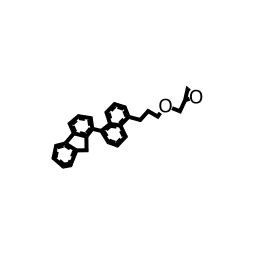 c1ccc2c(c1)Cc1c-2cccc1-c1cccc2c(CCCOCC3CO3)cccc12